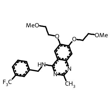 COCCOc1cc2nc(C)nc(NCc3cccc(C(F)(F)F)c3)c2cc1OCCOC